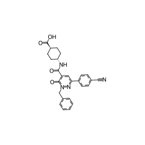 N#Cc1ccc(-c2cc(C(=O)N[C@H]3CC[C@H](C(=O)O)CC3)c(=O)n(Cc3ccccc3)n2)cc1